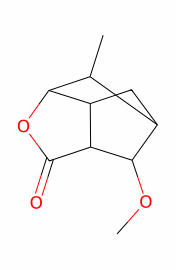 COC1C2CC3C(OC(=O)C31)C2C